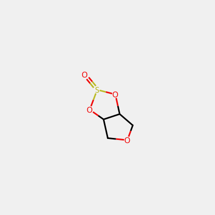 O=S1OC2COCC2O1